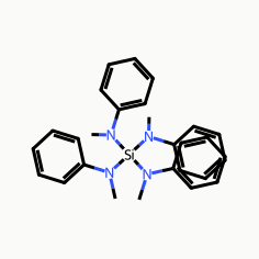 CN(c1ccccc1)[Si](N(C)c1ccccc1)(N(C)c1ccccc1)N(C)c1ccccc1